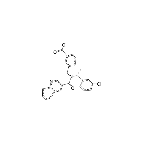 C[C@H](c1cccc(Cl)c1)N(Cc1cccc(C(=O)O)c1)C(=O)c1cnc2ccccc2c1